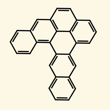 c1ccc2cc3c(cc2c1)c1cccc2ccc4cc5ccccc5c3c4c21